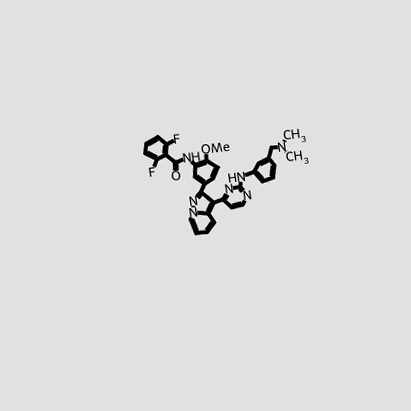 COc1ccc(-c2nn3ccccc3c2-c2ccnc(Nc3cccc(CN(C)C)c3)n2)cc1NC(=O)c1c(F)cccc1F